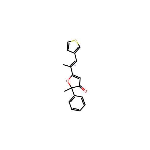 C/C(=C\c1ccsc1)C1=CC(=O)C(C)(c2ccccc2)O1